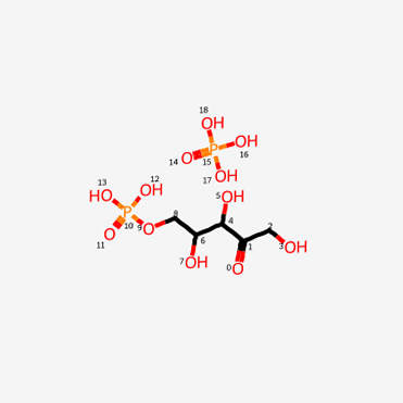 O=C(CO)C(O)C(O)COP(=O)(O)O.O=P(O)(O)O